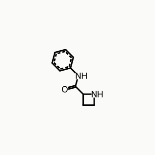 O=C(Nc1ccccc1)C1CCN1